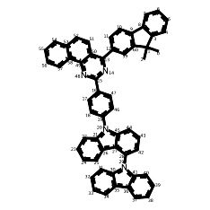 CC1(C)c2ccccc2-c2ccc(-c3nc(-c4ccc(-n5c6ccccc6c6c(-n7c8ccccc8c8ccccc87)cccc65)cc4)nc4c3ccc3ccccc34)cc21